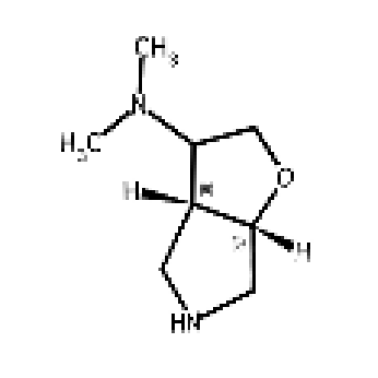 CN(C)C1CO[C@@H]2CNC[C@H]12